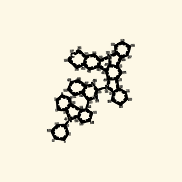 c1ccc(-n2c3ccccc3c3c(-c4nc(-n5c6ccccc6c6cc7c8ccccc8n8c9cc%10ccccc%10cc9c(c65)c78)nc5ccccc45)cccc32)cc1